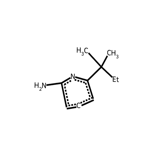 CCC(C)(C)c1cccc(N)n1